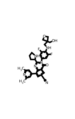 Cc1cc(-c2cc(C#N)cc3c(=O)n(-c4cc(F)c(NCC5(CO)COC5)c(F)c4)c(C4CCCN4)nc23)cc(C)n1